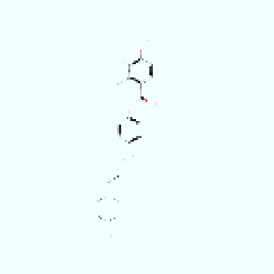 CCCCCCCCCCOc1ccc(C(=O)Oc2ccc(OCCC[C@H]3CC[C@H](CCCCC)CC3)cc2)c(F)c1F